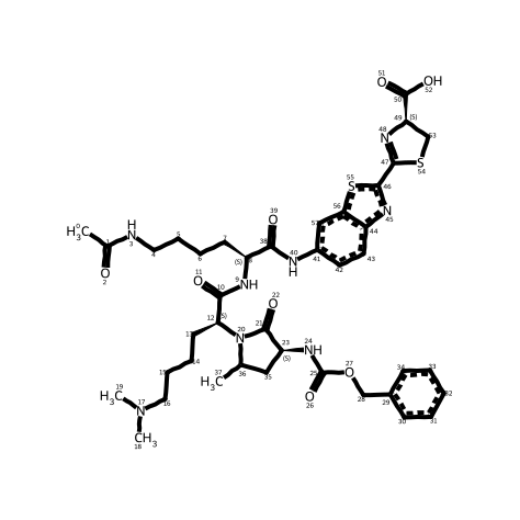 CC(=O)NCCCC[C@H](NC(=O)[C@H](CCCCN(C)C)N1C(=O)[C@@H](NC(=O)OCc2ccccc2)CC1C)C(=O)Nc1ccc2nc(C3=N[C@@H](C(=O)O)CS3)sc2c1